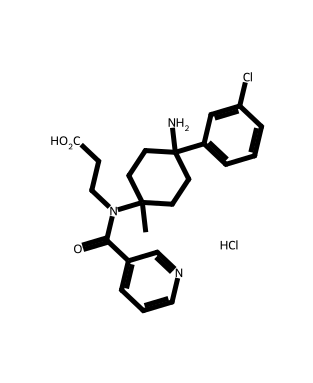 CC1(N(CCC(=O)O)C(=O)c2cccnc2)CCC(N)(c2cccc(Cl)c2)CC1.Cl